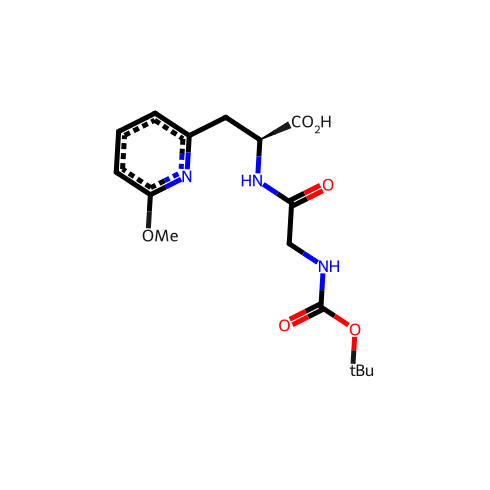 COc1cccc(C[C@H](NC(=O)CNC(=O)OC(C)(C)C)C(=O)O)n1